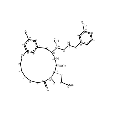 CSCC[C@H]1C(=O)N[C@H]([C@H](O)CNCc2cccc(C(F)(F)F)c2)Cc2cc(F)cc(c2)OCCCCCC(=O)N1C